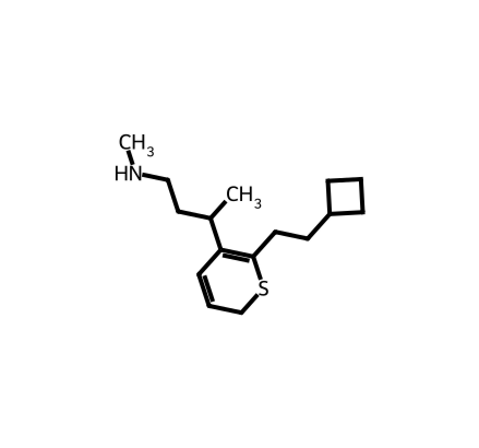 CNCCC(C)C1=C(CCC2CCC2)SCC=C1